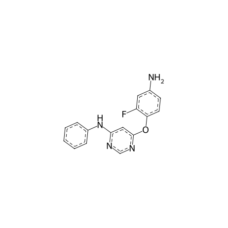 Nc1ccc(Oc2cc(Nc3ccccc3)ncn2)c(F)c1